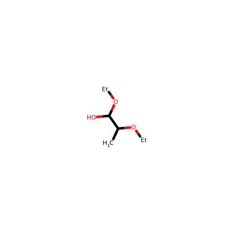 CCO[C](O)C(C)OCC